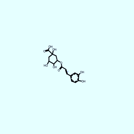 O=C(/C=C/c1ccc(O)c(O)c1)OC1CC(O)(C(=O)O)CC(O)C1O